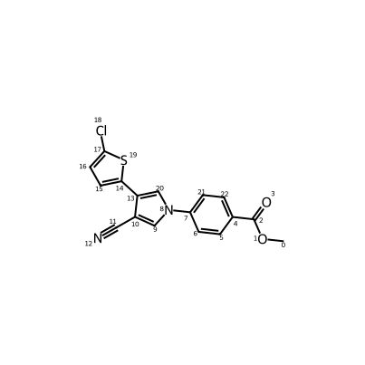 COC(=O)c1ccc(-n2cc(C#N)c(-c3ccc(Cl)s3)c2)cc1